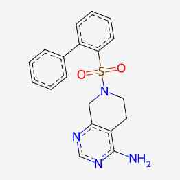 Nc1ncnc2c1CCN(S(=O)(=O)c1ccccc1-c1ccccc1)C2